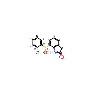 O=C1Cc2cccc([S+]([O-])c3ccccc3Cl)c2N1